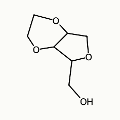 OCC1OCC2OCCOC12